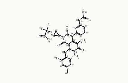 Cc1c(=O)n(C)c(Nc2ccc(I)cc2F)c2c(=O)n(C3CC3)c(=O)n(-c3cccc(NC(=O)C(C)(C)C)c3)c12.O=C(O)C(F)(F)F